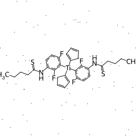 CCCCC(=S)Nc1ccc(F)[c]([Ti]([C]2=CC=CC2)([C]2=CC=CC2)[c]2c(F)ccc(NC(=S)CCCC)c2F)c1F